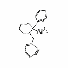 NC1(c2ccccc2)CCCCN1Cc1ccccc1